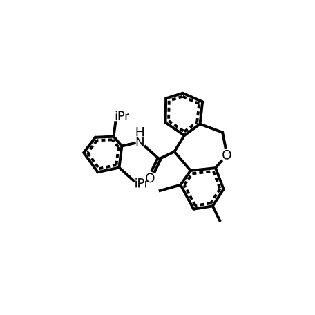 Cc1cc(C)c2c(c1)OCc1ccccc1C2C(=O)Nc1c(C(C)C)cccc1C(C)C